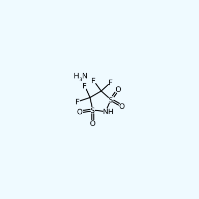 N.O=S1(=O)NS(=O)(=O)C(F)(F)C1(F)F